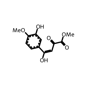 COC(=O)C(=O)/C=C(/O)c1ccc(OC)c(O)c1